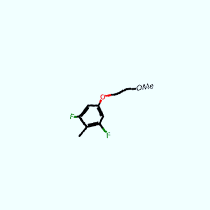 COCCOc1cc(F)c(C)c(F)c1